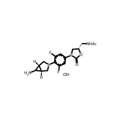 CC(=O)NC[C@H]1CN(c2cc(F)c(N3C[C@@H]4C(N)[C@@H]4C3)c(F)c2)C(=O)O1.Cl